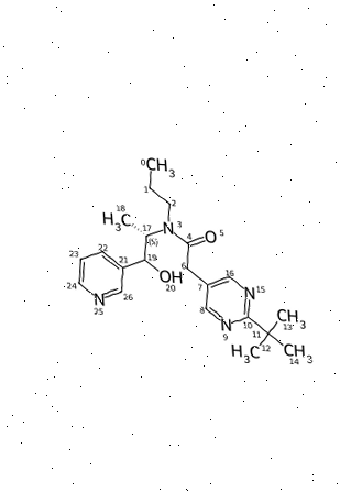 CCCN(C(=O)Cc1cnc(C(C)(C)C)nc1)[C@@H](C)C(O)c1cccnc1